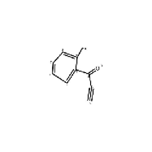 C#CC(=O)c1ccccc1C